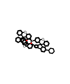 c1ccc(C2(c3ccccc3)c3ccccc3Oc3ccc(N(c4ccc5c(c4)C4(c6ccccc6O5)c5cc(C6CCCCC6)ccc5-c5ccc(C6CCCCC6)cc54)c4cccc5oc6ccccc6c45)cc32)cc1